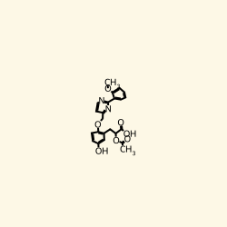 COc1ccccc1-c1nccc(COc2ccc(O)cc2CC(OC(C)=O)C(=O)O)n1